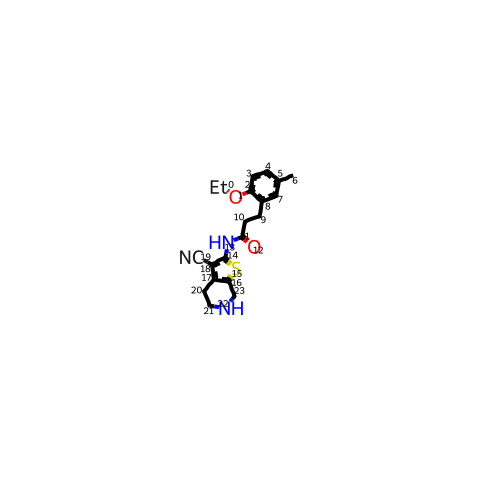 CCOc1ccc(C)cc1CCC(=O)Nc1sc2c(c1C#N)CCNC2